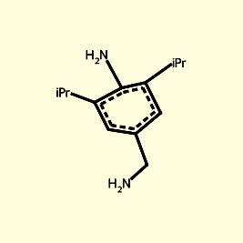 CC(C)c1cc(CN)cc(C(C)C)c1N